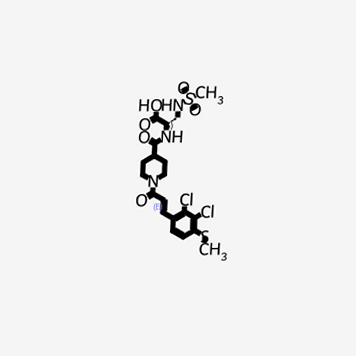 CSc1ccc(/C=C/C(=O)N2CCC(C(=O)N[C@@H](CNS(C)(=O)=O)C(=O)O)CC2)c(Cl)c1Cl